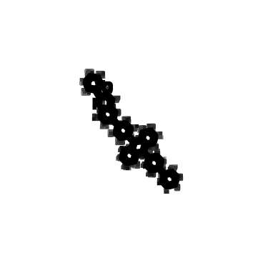 c1ccc(-c2ccc(-c3c4ccccc4c(-c4ccc(-c5ccc6nc7c(cc6c5)oc5ccccc57)cc4)c4ccccc34)cc2)cc1